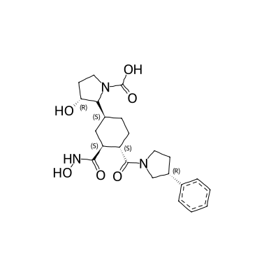 O=C(NO)[C@H]1C[C@@H](C2[C@H](O)CCN2C(=O)O)CC[C@@H]1C(=O)N1CC[C@H](c2ccccc2)C1